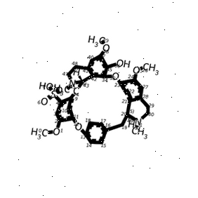 COc1cc(S(=O)(=O)O)c2cc1Oc1ccc(cc1)C[C@H]1c3cc(c(OC)cc3CCN1C)Oc1c(O)c(OC)cc3c1[C@H](C2)N(C)CC3